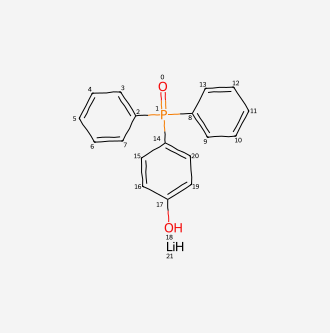 O=P(c1ccccc1)(c1ccccc1)c1ccc(O)cc1.[LiH]